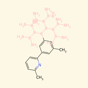 BBB(B(B)B)B(B(B(B)B)B(B)B)B(B(B(B)B)B(B)B)c1cc(C)cc(-c2cccc(C)n2)c1